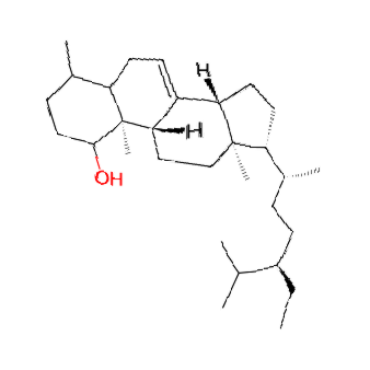 CC[C@H](CC[C@@H](C)[C@H]1CC[C@H]2C3=CCC4C(C)CCC(O)[C@]4(C)[C@H]3CC[C@]12C)C(C)C